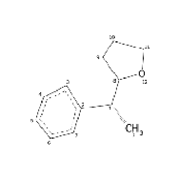 C[C@H](c1ccccc1)C1CCCO1